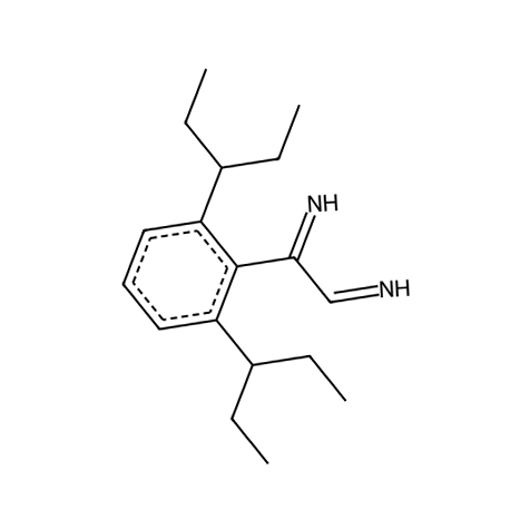 CCC(CC)c1cccc(C(CC)CC)c1C(=N)C=N